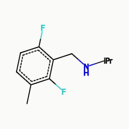 Cc1ccc(F)c(CNC(C)C)c1F